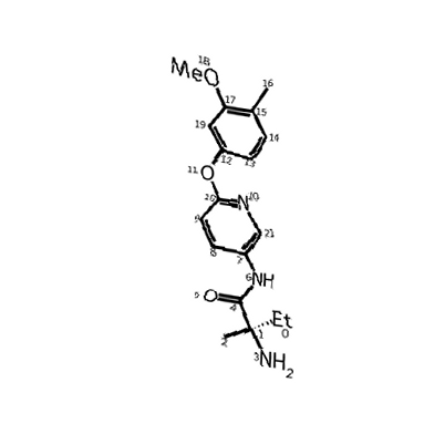 CC[C@@](C)(N)C(=O)Nc1ccc(Oc2ccc(C)c(OC)c2)nc1